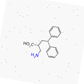 NCC(CC(c1ccccc1)c1ccccc1)C(=O)O